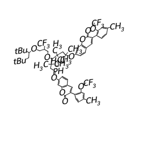 Cc1ccc(-c2cc3ccc(OPCC(C)(C)C(OCC(COC(CC(C)(C)C)C(C)(C)C)C(F)(F)F)C(C)(C)CC(C)(C)Oc4ccc5cc(-c6ccc(C)cc6OC(F)(F)F)c(=O)oc5c4)cc3oc2=O)c(OC(F)(F)F)c1